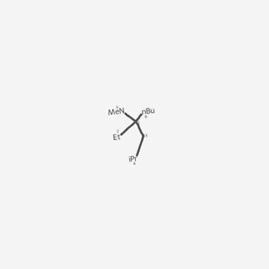 CCCCC(CC)(CC(C)C)NC